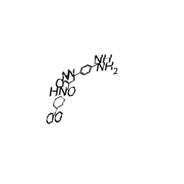 COC(=O)[C@H]1CC[C@@H](NC(=O)c2cc(-c3ccc(C(=N)N)cc3)nn(C)c2=O)CC1